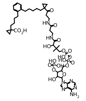 CC(C)(COP(=O)(O)OP(=O)(O)OCC1OC(n2cnc3c(N)ncnc32)C(O)C1OP(=O)(O)O)C(O)C(=O)NCCC(=O)NCCC(=O)C1(CCCCCc2ccccc2CCCCC2(C(=O)O)CC2)CC1